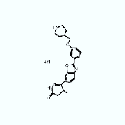 CC1CC(=O)NN=C1c1ccc2nc(-c3cccc(OCC4CCNCC4)c3)oc2c1.Cl